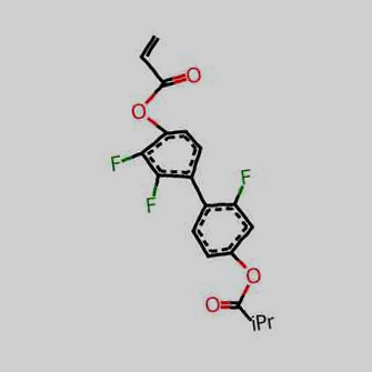 C=CC(=O)Oc1ccc(-c2ccc(OC(=O)C(C)C)cc2F)c(F)c1F